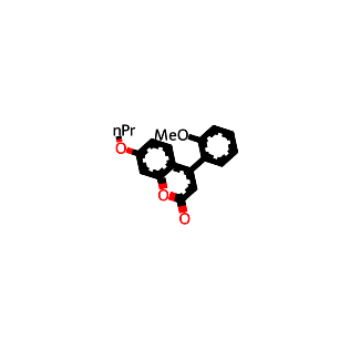 CCCOc1ccc2c(-c3ccccc3OC)cc(=O)oc2c1